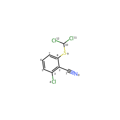 N#Cc1c(Cl)cccc1SC(Cl)Cl